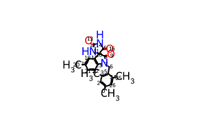 Cc1cc(C)c(CN2C(=O)C3(NC(=O)NC3=O)c3cc(C)ccc32)c(C)c1